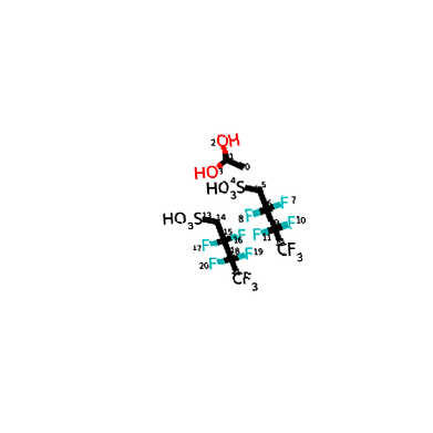 CC(O)O.O=S(=O)(O)CC(F)(F)C(F)(F)C(F)(F)F.O=S(=O)(O)CC(F)(F)C(F)(F)C(F)(F)F